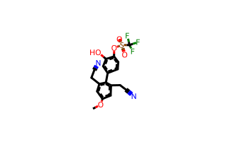 COc1cc(CC#N)c(-c2ccc(OS(=O)(=O)C(F)(F)F)c(O)c2)c(CC#N)c1